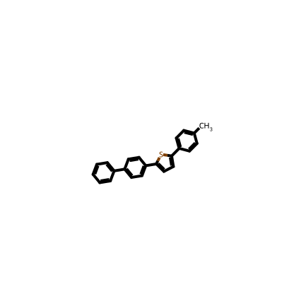 Cc1ccc(-c2ccc(-c3ccc(-c4ccccc4)cc3)s2)cc1